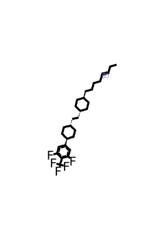 CC/C=C/CCCC[C@H]1CC[C@H](CC[C@H]2CC[C@H](c3cc(F)c(C(F)(F)F)c(F)c3)CC2)CC1